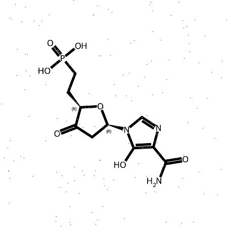 NC(=O)c1ncn([C@H]2CC(=O)[C@@H](CCP(=O)(O)O)O2)c1O